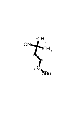 CCC(C)OCCC(C)(C)N=O